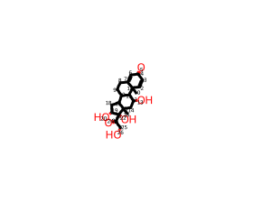 CC12C=CC(=O)C=C1CCC1C2C(O)CC2(C)C1CC(O)C2(O)C(=O)CO